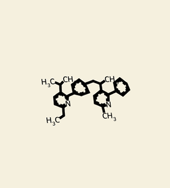 CCc1ccc(C(C)C)c(-c2ccc(CC(C)c3ccc(C)nc3-c3ccccc3)cc2)n1